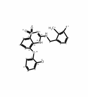 Cc1c(F)cccc1CNC1=NS(=O)(=O)c2cccc(Oc3ccccc3Cl)c2N1